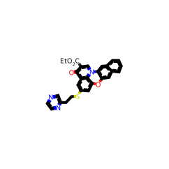 CCOC(=O)c1cn2c3c(cc(SCCc4cnccn4)cc3c1=O)Oc1cc3ccccc3cc1-2